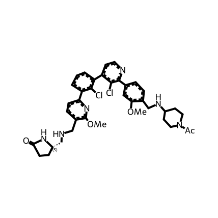 COc1cc(-c2nccc(-c3cccc(-c4ccc(CNC[C@@H]5CCC(=O)N5)c(OC)n4)c3Cl)c2Cl)ccc1CNC1CCN(C(C)=O)CC1